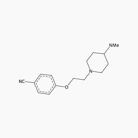 CNC1CCN(CCOc2ccc(C#N)cc2)CC1